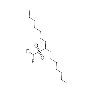 CCCCCCCC(CCCCCCC)S(=O)(=O)C(F)F